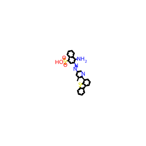 Cc1cc(/N=N/c2cc(S(=O)(=O)O)c3ccccc3c2N)cnc1-c1cccc2c1sc1ccccc12